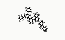 c1ccc(-c2nc(-c3ccccc3)nc(-c3cccc(-c4nc(-c5cc6sc7ccccc7c6cn5)cc5ncccc45)c3)n2)cc1